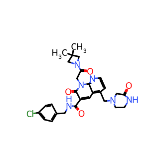 CC1(C)CN(C(=O)Cn2c(=O)c(C(=O)NCc3ccc(Cl)cc3)cc3c(CN4CCNC(=O)C4)ccnc32)C1